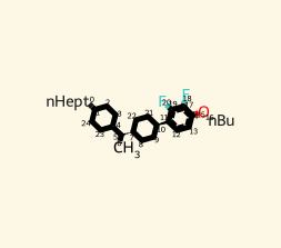 CCCCCCCC1CCC(C(C)[C@H]2CC[C@H](c3ccc(OCCCC)c(F)c3F)CC2)CC1